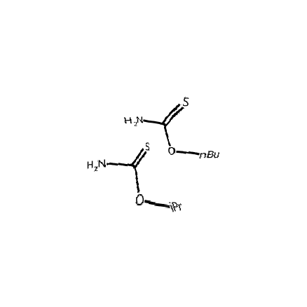 CC(C)OC(N)=S.CCCCOC(N)=S